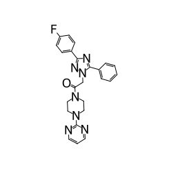 O=C(Cn1nc(-c2ccc(F)cc2)nc1-c1ccccc1)N1CCN(c2ncccn2)CC1